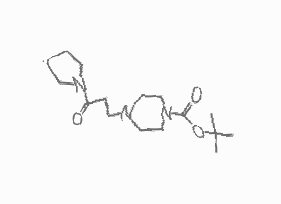 CC(C)(C)OC(=O)N1CCN(CCC(=O)N2C[CH]CC2)CC1